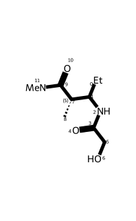 CCC(NC(=O)CO)[C@H](C)C(=O)NC